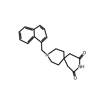 O=C1CC2(CCN(Cc3cccc4ccccc34)CC2)CC(=O)N1